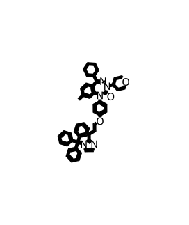 Cc1ccc2c(c1)N(c1ccc(OCCCc3nccn3C(c3ccccc3)(c3ccccc3)c3ccccc3)cc1)C(=O)N(C1CCOCC1)N=C2C1CCCCC1